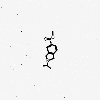 COC(=O)c1ccc2c(c1)CN(C(C)C)C2